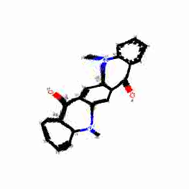 CN1C2=CC3C(=O)c4ccccc4N(C)C3C=C2C(=O)C2C=CC=CC21